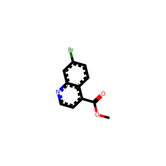 COC(=O)c1ccnc2cc(Br)ccc12